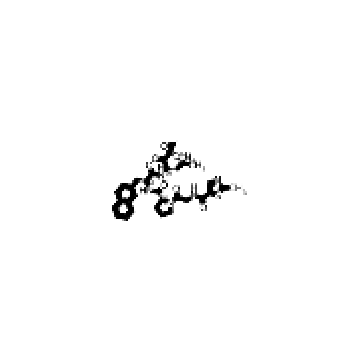 Cc1ncc(C(=O)NCC(=O)N2CCC[C@H]2C(=O)N[C@@H](Cc2ccc3ccccc3c2)C(=O)N[C@@H](CC(C)C)C(=O)[C@@]2(C)CO2)s1